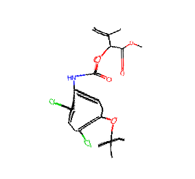 C=C(C)C(OC(=O)Nc1cc(OC(C)(C)C)c(Cl)cc1Cl)C(=O)OC